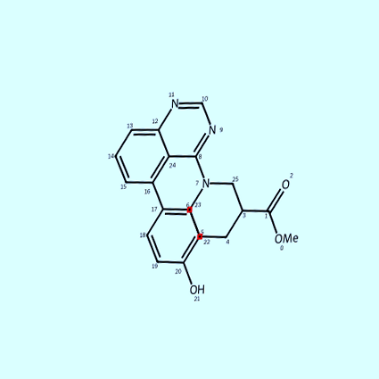 COC(=O)C1CCCN(c2ncnc3cccc(-c4ccc(O)cc4)c23)C1